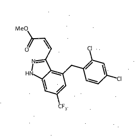 COC(=O)/C=C\c1n[nH]c2cc(C(F)(F)F)cc(Cc3ccc(Cl)cc3Cl)c12